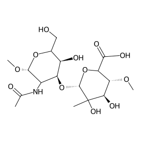 CO[C@@H]1OC(CO)[C@@H](O)[C@@H](O[C@@H]2OC(C(=O)O)[C@H](OC)[C@@H](O)C2(C)O)C1NC(C)=O